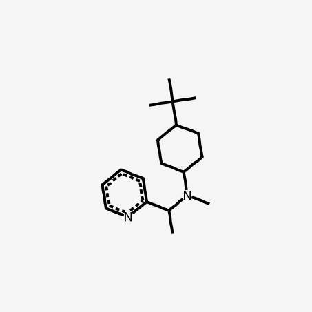 CC(c1ccccn1)N(C)C1CCC(C(C)(C)C)CC1